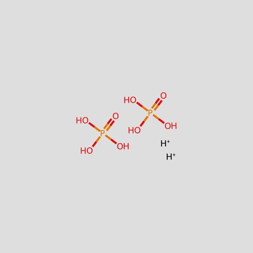 O=P(O)(O)O.O=P(O)(O)O.[H+].[H+]